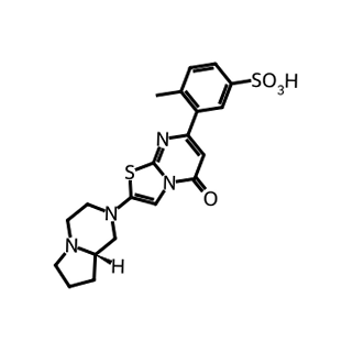 Cc1ccc(S(=O)(=O)O)cc1-c1cc(=O)n2cc(N3CCN4CCC[C@H]4C3)sc2n1